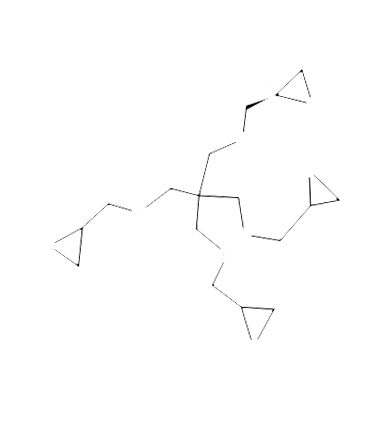 C(OCC(COCC1CS1)(COCC1CS1)COC[C@H]1CS1)C1CS1